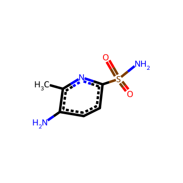 Cc1nc(S(N)(=O)=O)ccc1N